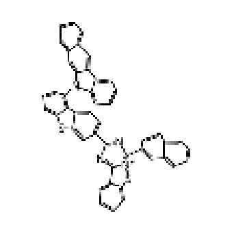 c1ccc2cc(-c3nc(-c4ccc5c(c4)sc4cccc(-n6c7ccccc7c7cc8ccccc8cc76)c45)nc4c5ccccc5s[n+]34)ccc2c1